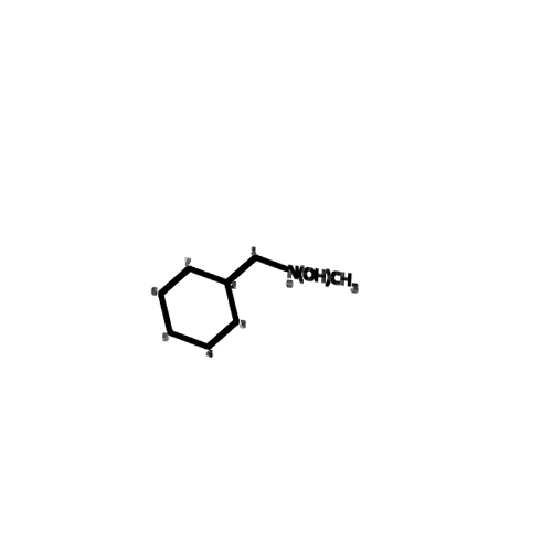 CN(O)CC1CCCCC1